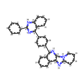 c1ccc(-c2nc(-c3ccc(-c4nc5c(nc6ccccn65)c5ccccc45)cc3)c3ccccc3n2)cc1